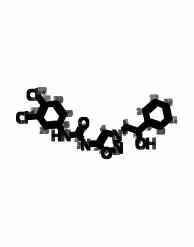 O=C([N-]c1c[n+](CC(O)c2ccccc2)no1)Nc1ccc(Cl)c(Cl)c1